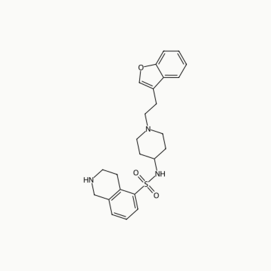 O=S(=O)(NC1CCN(CCc2coc3ccccc23)CC1)c1cccc2c1CCNC2